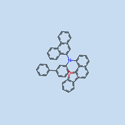 c1ccc(-c2cccc(N(c3cc4ccccc4c4ccccc34)c3cccc4ccc5c6ccccc6oc5c34)c2)cc1